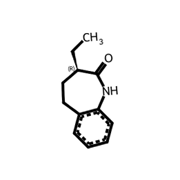 CC[C@@H]1CCc2ccccc2NC1=O